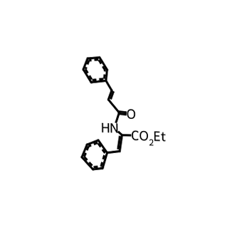 CCOC(=O)/C(=C/c1ccccc1)NC(=O)C=Cc1ccccc1